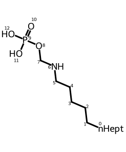 CCCCCCCCCCCCNCOP(=O)(O)O